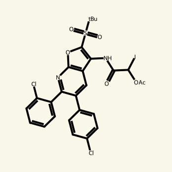 CC(=O)OC(I)C(=O)Nc1c(S(=O)(=O)C(C)(C)C)oc2nc(-c3ccccc3Cl)c(-c3ccc(Cl)cc3)cc12